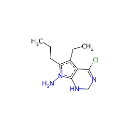 CCCc1c(CC)c2c(n1N)NCN=C2Cl